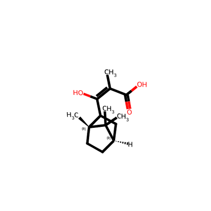 CC(C(=O)O)=C(O)C1C[C@H]2CC[C@@]1(C)C2(C)C